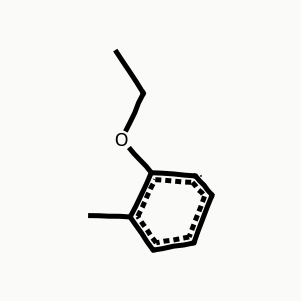 CCOc1[c]cccc1C